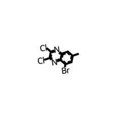 Cc1cc(Br)c2nc(Cl)c(Cl)nc2c1